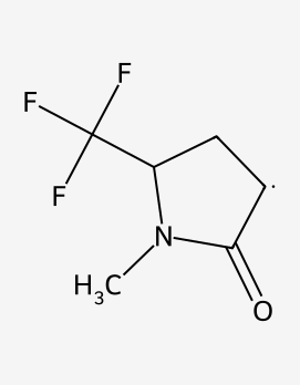 CN1C(=O)[CH]CC1C(F)(F)F